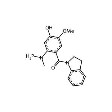 COc1cc(C(=O)N2CCc3ccccc32)c(N(C)P)cc1O